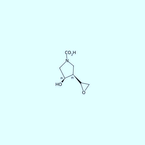 O=C(O)N1C[C@H](O)[C@H](C2CO2)C1